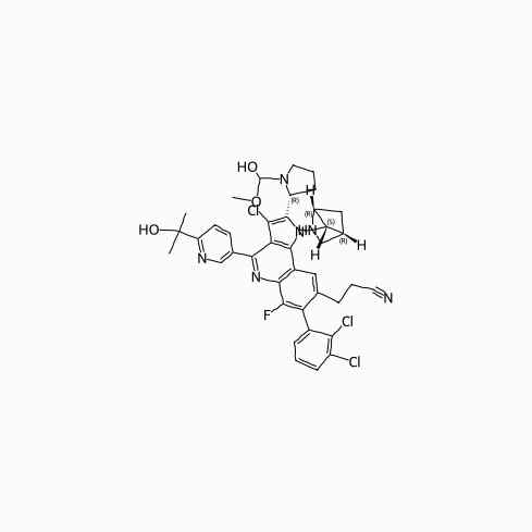 COC(O)N1CCC[C@@H]1c1c(Cl)c2c(-c3ccc(C(C)(C)O)nc3)nc3c(F)c(-c4cccc(Cl)c4Cl)c(CCC#N)cc3c2n1[C@H]1[C@H]2CN[C@@H]1C2